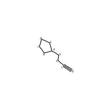 C#CCCC1C[CH]CC1